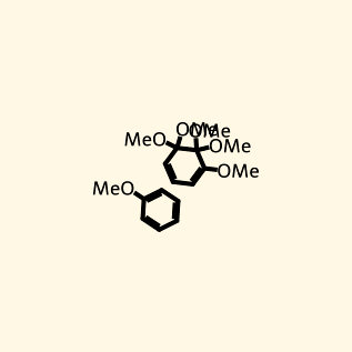 COC1=CC=CC(OC)(OC)C1(OC)OC.COc1ccccc1